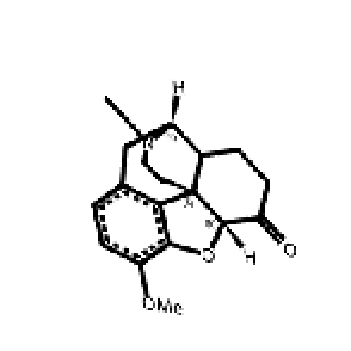 COc1ccc2c3c1O[C@H]1C(=O)CCC4[C@@H](C2)N(C)CC[C@@]341